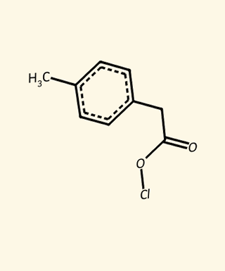 Cc1ccc(CC(=O)OCl)cc1